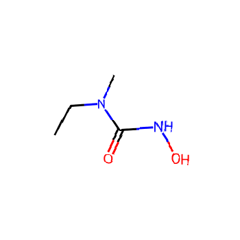 CCN(C)C(=O)NO